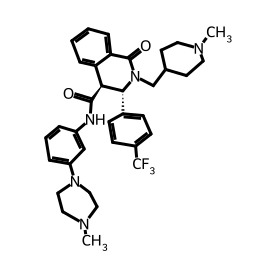 CN1CCC(CN2C(=O)c3ccccc3[C@H](C(=O)Nc3cccc(N4CCN(C)CC4)c3)[C@H]2c2ccc(C(F)(F)F)cc2)CC1